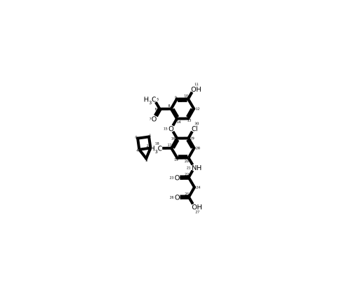 C1CC2CC12.CC(=O)c1cc(O)ccc1Oc1c(C)cc(NC(=O)CC(=O)O)cc1Cl